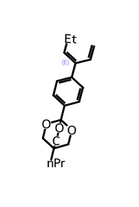 C=C/C(=C\CC)c1ccc(C23OCC(CCC)(CO2)CO3)cc1